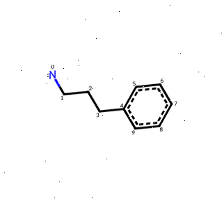 [N]CCCc1ccccc1